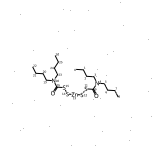 CCCCN(CCCC)C(=O)S[S][Zn][S]SC(=O)N(CCCC)CCCC